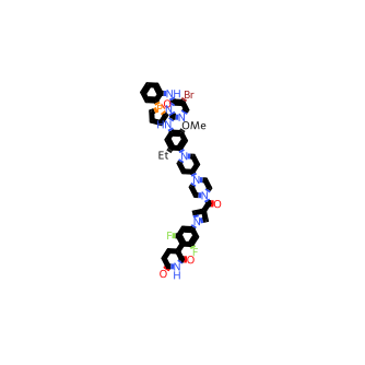 CCc1cc(Nc2ncc(Br)c(Nc3ccccc3P3(=O)CCCC3)n2)c(OC)cc1N1CCC(N2CCN(C(=O)C3CN(c4cc(F)c(C5CCC(=O)NC5=O)c(F)c4)C3)CC2)CC1